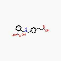 O=C(O)CCc1ccc(CNC(O)c2ccccc2C(=O)O)cc1